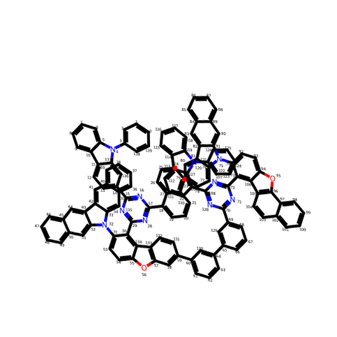 c1ccc(-n2c3ccccc3c3ccc(-c4nc(-c5cccc6ccccc56)nc(-c5c(-n6c7cc8ccccc8cc7c7cc8ccccc8cc76)ccc6oc7cc(-c8cccc(-c9cccc(-c%10nc(-c%11c(-n%12c%13ccccc%13c%13cc%14ccccc%14cc%13%12)ccc%12oc%13c%14ccccc%14ccc%13c%11%12)nc(-c%11cccc%12c%13ccccc%13n(-c%13ccccc%13)c%11%12)n%10)c9)c8)ccc7c56)n4)cc32)cc1